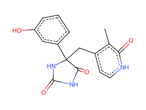 Cc1c(CC2(c3cccc(O)c3)NC(=O)NC2=O)cc[nH]c1=O